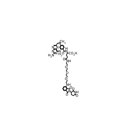 CN(Cc1cnc2nc(N)nc(N)c2n1)c1ccc(C(=O)N[C@@H](CCC(=O)NCCOCCOCCOCCNc2cccc3c2C(=O)N(C2CCC(=O)NC2=O)C3=O)C(=O)O)cc1